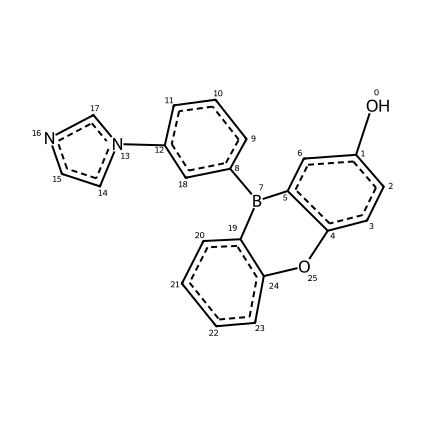 Oc1ccc2c(c1)B(c1cccc(-n3ccnc3)c1)c1ccccc1O2